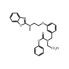 CCOC(=O)CN(Cc1cccc(OCCN(C)c2nc3ccccc3o2)c1)C(=O)Oc1ccccc1